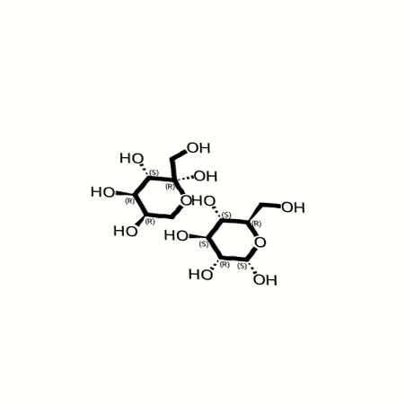 OC[C@@]1(O)OC[C@@H](O)[C@@H](O)[C@@H]1O.OC[C@H]1O[C@H](O)[C@H](O)[C@@H](O)[C@@H]1O